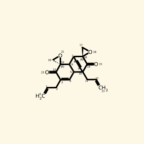 C=CCC1=CC2C(C3C=CC2(CC=C)C(=O)[C@]32CO2)[C@@]2(CO2)C1=O